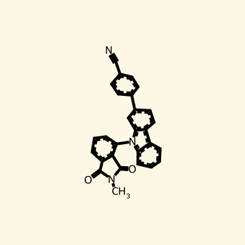 CN1C(=O)c2cccc(-n3c4ccccc4c4ccc(-c5ccc(C#N)cc5)cc43)c2C1=O